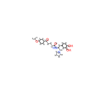 CC(C)Oc1ccc(C(=O)CCCC(=O)N[C@@H](Cc2ccc(O)c(O)c2)CN2CCCC2)cc1